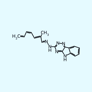 C=C\C=C/C=C(C)/C=N/Nc1nnc2c(n1)[nH]c1ccccc12